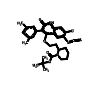 Cc1cc(C)cc(-c2c(OCCC3CCCCN3C(=O)OC(C)(C)C)c3cc(N=C=S)c(Cl)cc3[nH]c2=O)c1